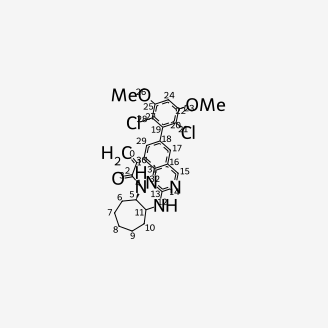 C=CC(=O)N[C@@H]1CCCCCC1Nc1ncc2cc(-c3c(Cl)c(OC)cc(OC)c3Cl)ccc2n1